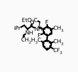 C=CNC(CC(C)C)C(=O)N[C@@H](CC(=O)OCC)c1c(F)c(C)cc(-c2c(C)ccc(C(F)(F)F)c2C)c1F